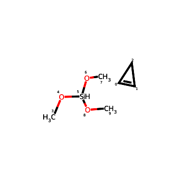 C1=CC1.CO[SiH](OC)OC